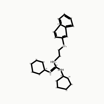 c1ccc2cc(OCCN/C(=N\C3CCCCC3)NC3CCCCC3)ccc2c1